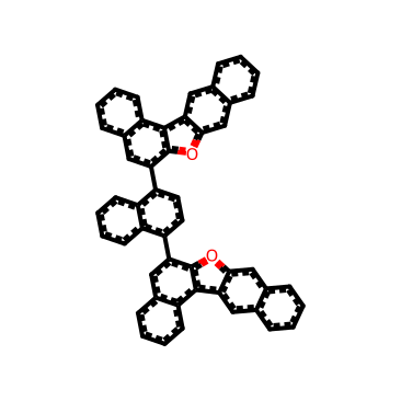 c1ccc2cc3c(cc2c1)oc1c(-c2ccc(-c4cc5ccccc5c5c4oc4cc6ccccc6cc45)c4ccccc24)cc2ccccc2c13